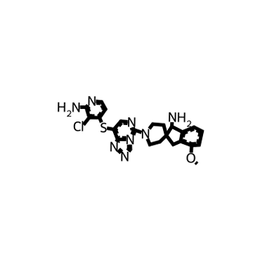 COc1cccc2c1CC1(CCN(c3ncc(Sc4ccnc(N)c4Cl)c4nncn34)CC1)C2N